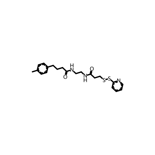 Cc1ccc(CCCC(=O)NCCNC(=O)CCSSc2ccccn2)cc1